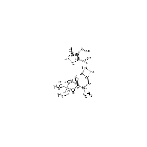 CN(CC1CN(c2cccc3c2CCN3)C1)C(=O)OC(C)(C)C